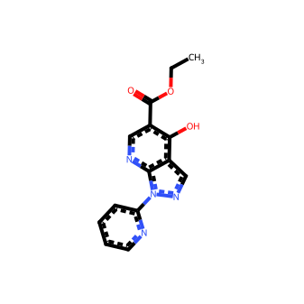 CCOC(=O)c1cnc2c(cnn2-c2ccccn2)c1O